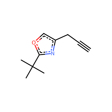 C#CCc1coc(C(C)(C)C)n1